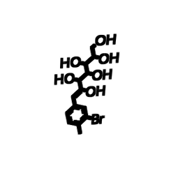 Cc1ccc(C=C(O)C(O)C(O)C(O)C(O)CO)cc1Br